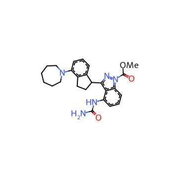 COC(=O)n1nc(C2CCc3c2cccc3N2CCCCCC2)c2c(NC(N)=O)cccc21